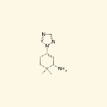 CC1(C)CCC(n2cncn2)=CC1N